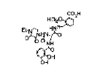 CCN1CCN(C(=O)NC(CNC(=O)c2cccc(O)c2O)C(=O)N[C@H]2Cc3cccc(C(=O)O)c3OB2O)C(=O)C1=O